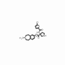 CN1CCc2ccc(NC(=O)C3(NC(=O)c4ccc(Cl)s4)CCNC3)cc2CC1